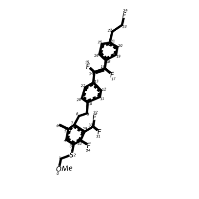 COCSc1cc(C)c(CCc2ccc(/C(F)=C(\F)c3ccc(CCF)cc3)cc2)c(C(F)F)c1F